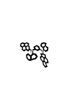 c1cc(N(c2cc3ccc4cccc5ccc(c2)c3c45)c2cccc3ccccc23)cc(N(c2cc3ccc4cccc5ccc(c2)c3c45)c2cccc3ccccc23)c1